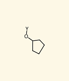 [Y][O]C1CCCC1